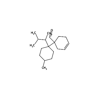 CC1CCC(C(C)C(C)C)(C2(C=O)CC=CCC2)CC1